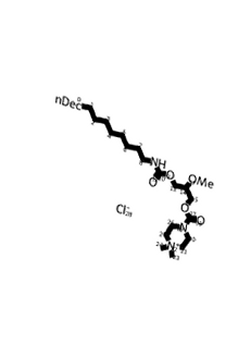 CCCCCCCCCCCCCCCCCCNC(=O)OCC(COC(=O)N1CC[N+](C)(C)CC1)OC.[Cl-]